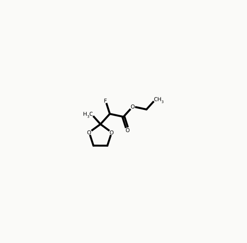 CCOC(=O)C(F)C1(C)OCCO1